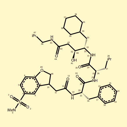 CNS(=O)(=O)c1ccc2c(c1)C(CC(=O)N[C@@H](Cc1ccccc1)C(=O)N[C@@H](CC(C)C)C(=O)N[C@@H](CC1CCCCC1)[C@@H](O)CC(=O)NCC(C)C)CO2